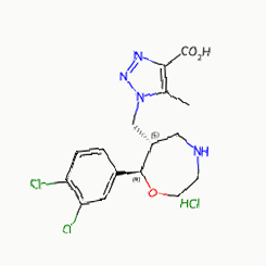 Cc1c(C(=O)O)nnn1C[C@@H]1CNCCO[C@H]1c1ccc(Cl)c(Cl)c1.Cl